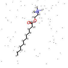 CCCCCCCCCCCC(=O)OCC[N+](C)(C)C